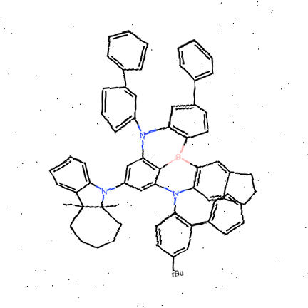 CC(C)(C)c1ccc(N2c3cc4c(cc3B3c5ccc(-c6ccccc6)cc5N(c5cccc(-c6ccccc6)c5)c5cc(N6c7ccccc7C7(C)CCCCCC67C)cc2c53)CCC4)c(-c2ccccc2)c1